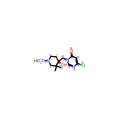 CC1(C)CN(C(=O)O)CCC1(O)Cn1cnc(Cl)cc1=O